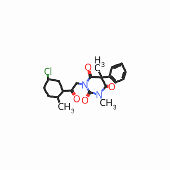 CC1CCC(Cl)CC1C(=O)CN1C(=O)N(C)C(=O)C(C)(c2ccccc2)C1=O